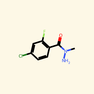 CN(N)C(=O)c1ccc(Cl)cc1F